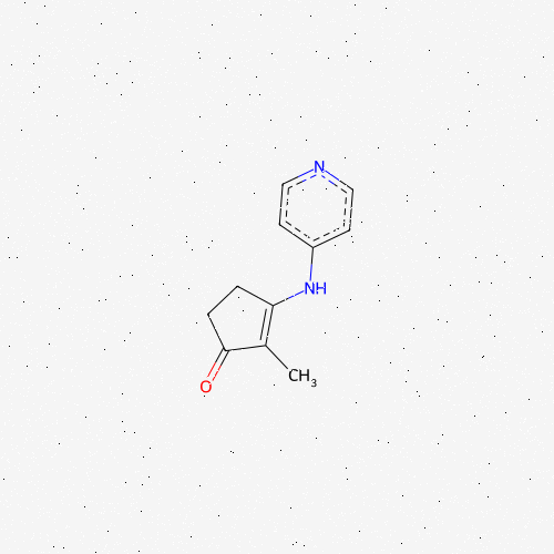 CC1=C(Nc2ccncc2)CCC1=O